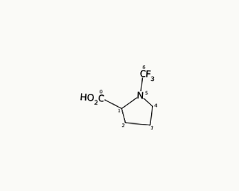 O=C(O)C1CCCN1C(F)(F)F